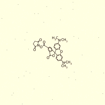 CN(C)c1ccc2c(c1)Oc1cc(N(C)C)ccc1C21OC(=O)c2cc(C(=O)ON3C(=O)CCC3=O)ccc21